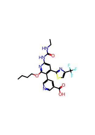 CCCCOc1nc(NC(=O)NCC)cc(-c2nc(C(F)(F)F)cs2)c1-c1cncc(C(=O)O)c1